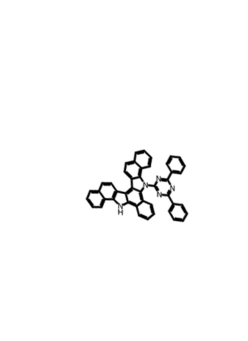 c1ccc(-c2nc(-c3ccccc3)nc(-n3c4c5ccccc5ccc4c4c5c6ccc7ccccc7c6[nH]c5c5ccccc5c43)n2)cc1